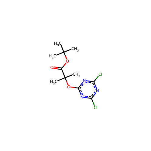 CC(C)(C)OC(=O)C(C)(C)Oc1nc(Cl)nc(Cl)n1